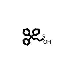 OC(=S)CCCC(c1ccccc1)(c1ccccc1)c1ccccc1